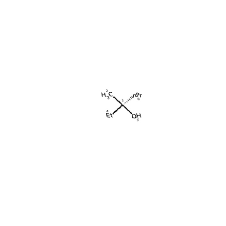 CCC[C@](C)(O)CC